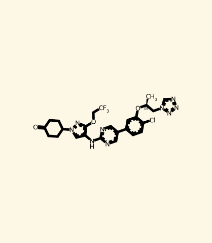 C[C@@H](Cn1cnnn1)Oc1cc(-c2cnc(Nc3cn(C4CCC(=O)CC4)nc3OCC(F)(F)F)nc2)ccc1Cl